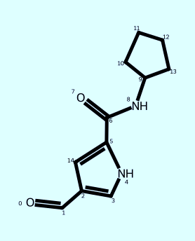 O=Cc1c[nH]c(C(=O)NC2CCCC2)c1